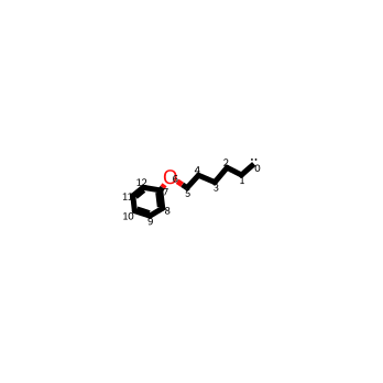 [CH]CCCCCOc1ccccc1